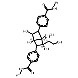 CC(C)NC(=O)c1ccc(C2C(O)[C@@]3(O)C(c4ccc(C(=O)NC(C)C)cc4)[C@@](O)([C@H](O)CO)[C@@]23O)cc1